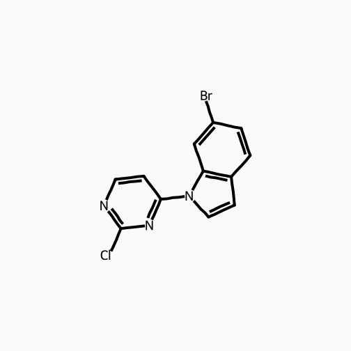 Clc1nccc(-n2ccc3ccc(Br)cc32)n1